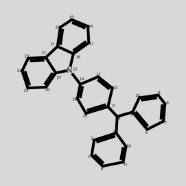 c1ccc(C(c2ccccc2)c2ccc(-n3c4ccccc4c4ccccc43)cc2)cc1